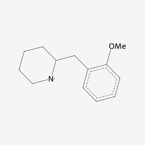 COc1ccccc1CC1CCCC[N]1